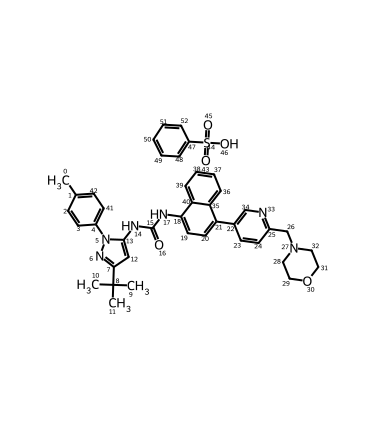 Cc1ccc(-n2nc(C(C)(C)C)cc2NC(=O)Nc2ccc(-c3ccc(CN4CCOCC4)nc3)c3ccccc23)cc1.O=S(=O)(O)c1ccccc1